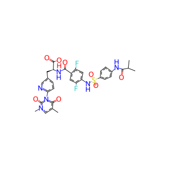 Cc1cn(C)c(=O)n(-c2ccc(C[C@H](NC(=O)c3cc(F)c(NS(=O)(=O)c4ccc(NC(=O)C(C)C)cc4)cc3F)C(=O)O)cn2)c1=O